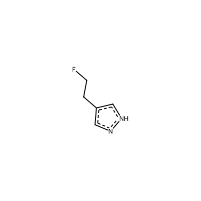 FCCc1cn[nH]c1